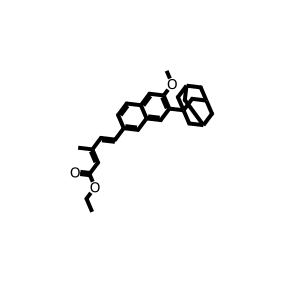 CCOC(=O)C=C(C)C=Cc1ccc2cc(OC)c(C34CC5CC(CC(C5)C3)C4)cc2c1